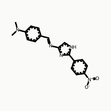 CN(C)c1ccc(C=Nc2c[nH]c(-c3ccc([N+](=O)[O-])cc3)n2)cc1